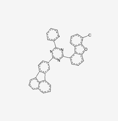 Clc1cccc2c1oc1cccc(-c3nc(-c4ccccc4)nc(-c4ccc5c(c4)-c4cccc6cccc-5c46)n3)c12